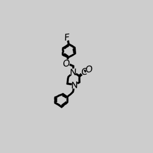 O=C=C1CN(Cc2ccccc2)CCN1COc1ccc(F)cc1